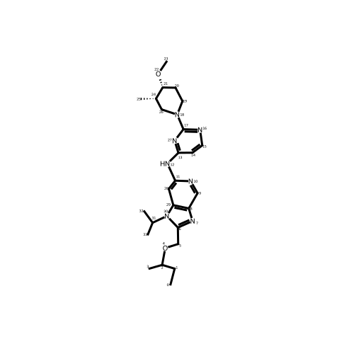 CCC(C)OCc1nc2cnc(Nc3ccnc(N4CC[C@@H](OC)[C@@H](C)C4)n3)cc2n1C(C)C